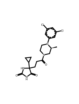 C[C@H]1CN(C(=O)CCC2(C3CC3)NC(=O)NC2=O)CCN1c1cc(Cl)cc(Cl)c1